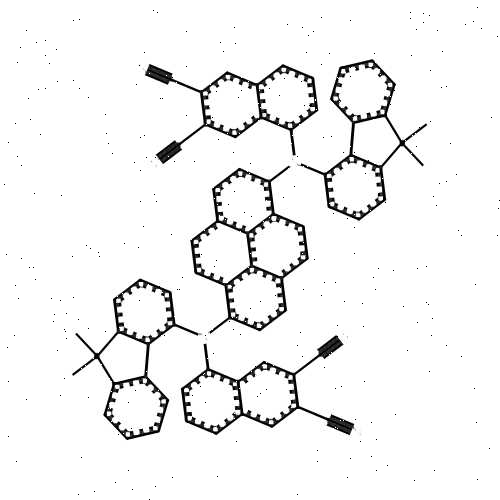 CC1(C)c2ccccc2-c2c(N(c3cccc4cc(C#N)c(C#N)cc34)c3ccc4ccc5c(N(c6cccc7c6-c6ccccc6C7(C)C)c6cccc7cc(C#N)c(C#N)cc67)ccc6ccc3c4c65)cccc21